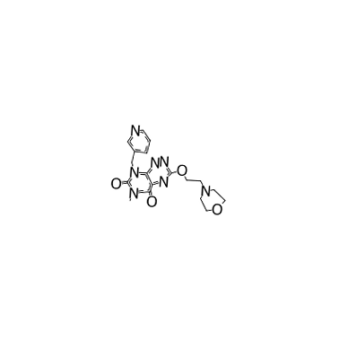 Cn1c(=O)c2nc(OCCN3CCOCC3)nnc2n(Cc2cccnc2)c1=O